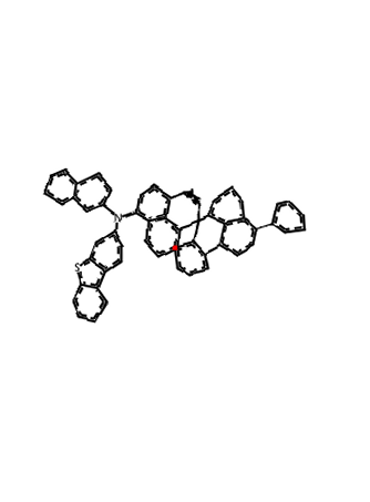 c1ccc(-c2ccc3c4c(cccc24)C2(c4ccccc4-3)c3ccccc3-c3ccc(N(c4ccc5ccccc5c4)c4ccc5c(c4)sc4ccccc45)c4cccc2c34)cc1